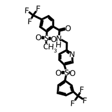 CS(=O)(=O)c1cc(C(F)(F)F)ccc1C(=O)NCc1ccc(S(=O)(=O)c2cccc(C(F)(F)F)c2)cn1